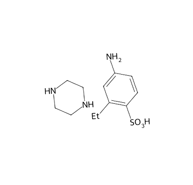 C1CNCCN1.CCc1cc(N)ccc1S(=O)(=O)O